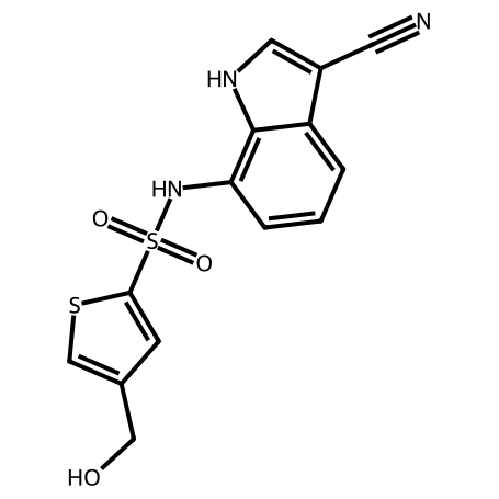 N#Cc1c[nH]c2c(NS(=O)(=O)c3cc(CO)cs3)cccc12